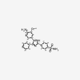 COc1cc(-c2[nH]c(-c3ccc(S(N)(=O)=O)cc3)nc2-c2ccncc2)cnc1N